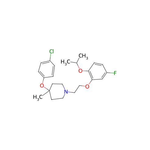 CC(C)Oc1ccc(F)cc1OCCN1CCC(C)(Oc2ccc(Cl)cc2)CC1